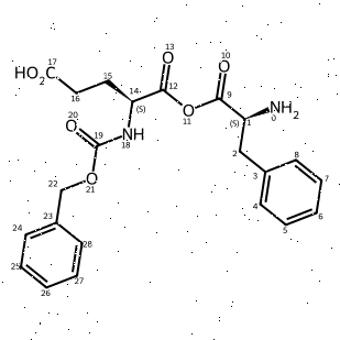 N[C@@H](Cc1ccccc1)C(=O)OC(=O)[C@H](CCC(=O)O)NC(=O)OCc1ccccc1